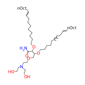 CCCCCCCCC=CCCCCCCCCOC(COCCN(CCO)CCO)C(OCCCCCCCCC=CCCCCCCCC)C(N)=O